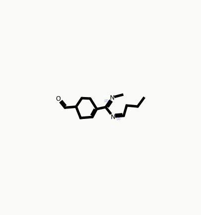 CCC/C=N\C(=N/C)C1=CCC(C=O)CC1